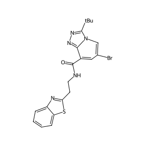 CC(C)(C)c1nnc2c(C(=O)NCCc3nc4ccccc4s3)cc(Br)cn12